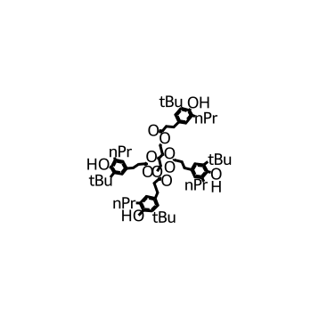 CCCc1cc(CCC(=O)OCC(OC(=O)CCc2cc(CCC)c(O)c(C(C)(C)C)c2)C(COC(=O)CCc2cc(CCC)c(O)c(C(C)(C)C)c2)OC(=O)CCc2cc(CCC)c(O)c(C(C)(C)C)c2)cc(C(C)(C)C)c1O